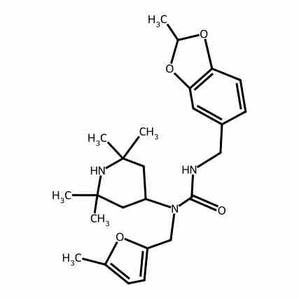 Cc1ccc(CN(C(=O)NCc2ccc3c(c2)OC(C)O3)C2CC(C)(C)NC(C)(C)C2)o1